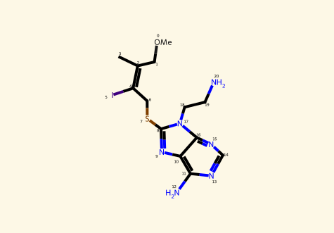 COCC(C)=C(I)CSc1nc2c(N)ncnc2n1CCN